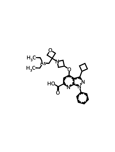 CC[As](CC)CC1(N2CC(Oc3cc(C(=O)O)nc4c3c(C3CCC3)nn4-c3ccccc3)C2)COC1